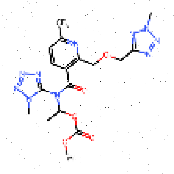 CC(C)OC(=O)OC(C)N(C(=O)c1ccc(C(F)(F)F)nc1COCc1nnn(C)n1)c1nnnn1C